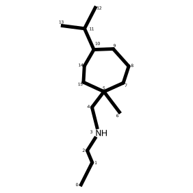 CCCNCC1(C)CCCC(C(C)C)CC1